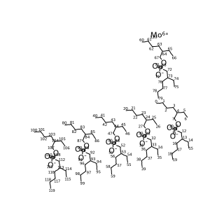 CCCCC(CC)COP(=O)([O-])CC(CC)CCCC.CCCCC(CC)COP(=O)([O-])CC(CC)CCCC.CCCCC(CC)COP(=O)([O-])CC(CC)CCCC.CCCCC(CC)COP(=O)([O-])CC(CC)CCCC.CCCCC(CC)COP(=O)([O-])CC(CC)CCCC.CCCCC(CC)COP(=O)([O-])CC(CC)CCCC.[Mo+6]